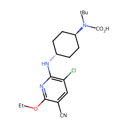 CCOc1nc(N[C@H]2CC[C@H](N(C(=O)O)C(C)(C)C)CC2)c(Cl)cc1C#N